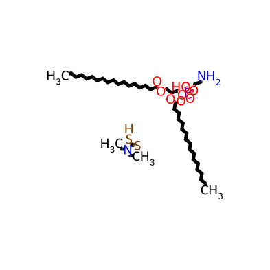 CCCCCCCCCCCCCCCCCC(=O)OCC(COP(=O)(O)OCCN)OC(=O)CCCCCCCCCCCCCCCCC.CCN(CC)C(=S)S